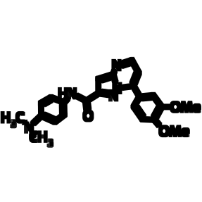 COc1ccc(-c2ccnc3cc(C(=O)Nc4ccc(N(C)C)cc4)nn23)cc1OC